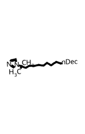 CCCCCCCCCCCCCCCCCCCC(C)(C)n1ccnc1